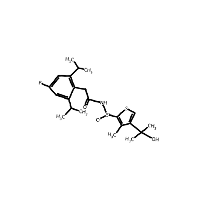 Cc1c(C(C)(C)O)csc1[S+]([O-])NC(=O)Cc1c(C(C)C)cc(F)cc1C(C)C